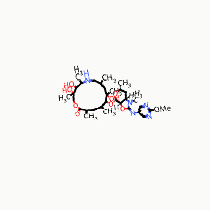 COc1ncc(/N=C2/O[C@H]3[C@H](OC4C(C)CC(C)C(=O)OCC(C)(O)C(O)C(C)NCC(C)CC4(C)O)O[C@H](C)C[C@@H]3N2C)cn1